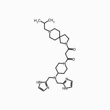 CC(C)CN1CCC2(CC1)CCN(C(=O)CC(=O)N1CCC(N(Cc3ncc[nH]3)Cc3ncc[nH]3)CC1)C2